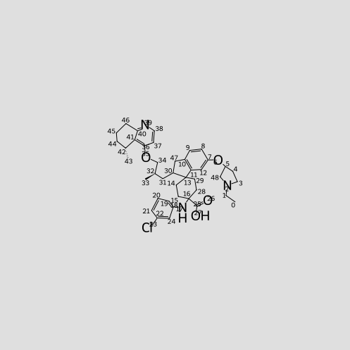 CCN1CCC(Oc2ccc3c(c2)C2(CCC(Nc4cccc(Cl)c4)(C(=O)O)CC2)C(C[C@@H](C)COc2ccnc4c2[C@H](C)CCC4)C3)C1